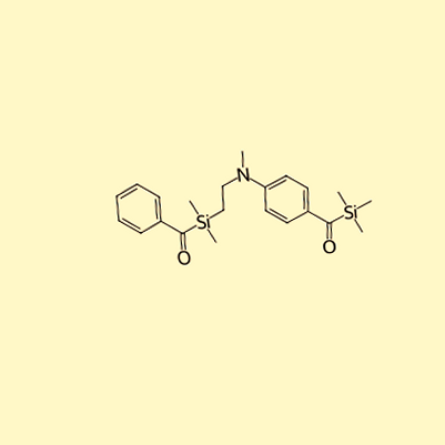 CN(CC[Si](C)(C)C(=O)c1ccccc1)c1ccc(C(=O)[Si](C)(C)C)cc1